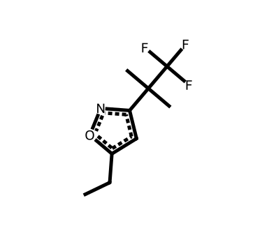 CCc1cc(C(C)(C)C(F)(F)F)no1